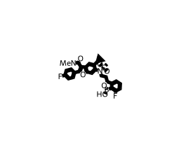 CNC(=O)c1c(-c2ccc(F)cc2)oc2cc(N(CCC3OB(O)c4c(F)cccc43)S(C)(=O)=O)c(C3CC3)cc12